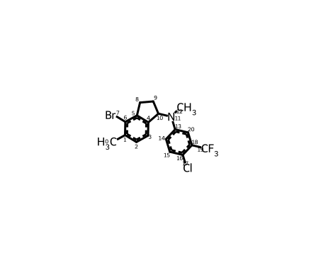 Cc1ccc2c(c1Br)CCC2N(C)c1ccc(Cl)c(C(F)(F)F)c1